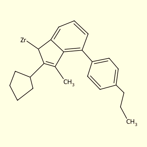 CCCc1ccc(-c2cccc3c2C(C)=C(C2CCCC2)[CH]3[Zr])cc1